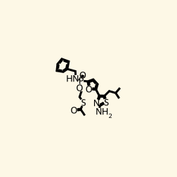 CC(=O)SCCOP(=O)(NCc1ccccc1)c1ccc(-c2nc(N)sc2CC(C)C)o1